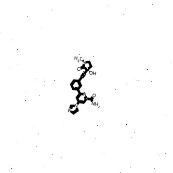 CN1CC[C@@](O)(C#Cc2cccc(-c3cc(-n4ccnc4)cc(C(N)=O)n3)c2)C1=O